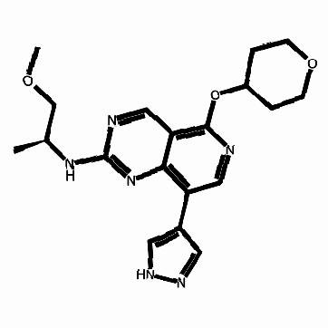 COC[C@H](C)Nc1ncc2c(OC3CCOCC3)ncc(-c3cn[nH]c3)c2n1